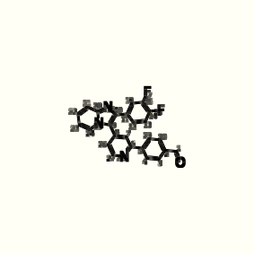 O=Cc1ccc(-c2cc(-c3c(-c4ccc(F)c(F)c4)nc4ccccn34)ccn2)cc1